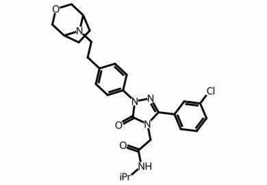 CC(C)NC(=O)Cn1c(-c2cccc(Cl)c2)nn(-c2ccc(CCN3C4CCC3COC4)cc2)c1=O